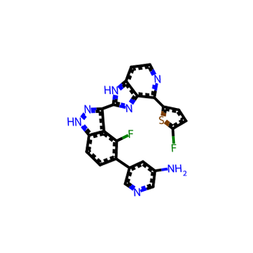 Nc1cncc(-c2ccc3[nH]nc(-c4nc5c(-c6ccc(F)s6)nccc5[nH]4)c3c2F)c1